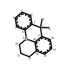 CC1(C)c2ccccc2B2CCCc3cccc1c32